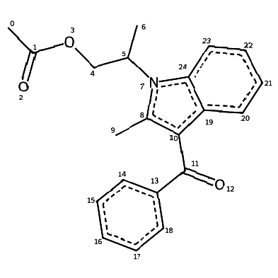 CC(=O)OCC(C)n1c(C)c(C(=O)c2ccccc2)c2ccccc21